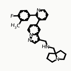 Cc1cc(-c2ncccc2-c2ccn3ncc(CNCC45CCCN4CCC5)c3c2)ccc1F